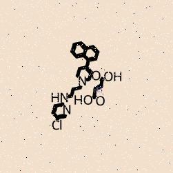 Clc1ccc(NCCCN2CC=C(c3cccc4ccccc34)CC2)nc1.O=C(O)/C=C/C(=O)O